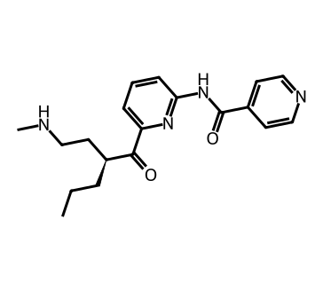 CCC[C@@H](CCNC)C(=O)c1cccc(NC(=O)c2ccncc2)n1